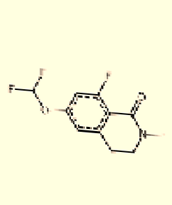 CN1CCc2cc(OC(F)F)cc(F)c2C1=O